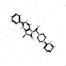 Cn1c(=O)n(C(=O)N2CCN(c3ccccn3)CC2)c2cnc(-c3ccccc3)nc21